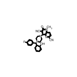 Cn1c(=O)c(C#N)c(N2CCN(C(c3ccc(F)cc3)c3ccccc3O)CC2)c2nc(C#N)ccc21